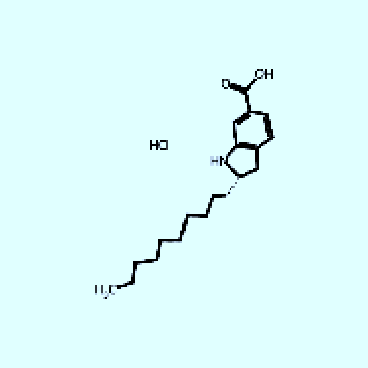 CCCCCCCCCC[C@H]1Cc2ccc(C(=O)O)cc2N1.Cl